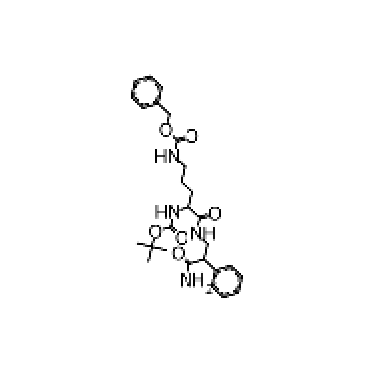 CC(C)(C)OC(=O)NC(CCCNC(=O)OCc1ccccc1)C(=O)NCC(C(N)=O)c1ccccc1